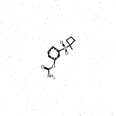 CC1(S(=O)(=O)c2cccc(OC(N)=O)c2)CCC1